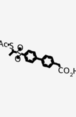 CC(=O)SC(C)S(=O)(=O)c1ccc(-c2ccc(CC(=O)O)cc2)cc1